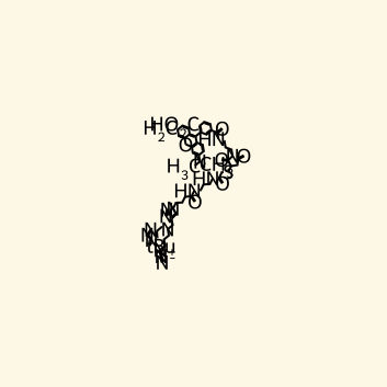 C=c1ccc2c(c1)Oc1cc(N(C)C)ccc1C=2c1cc(C(=O)NCCCN2C(=O)CC(SCC(=O)NCCCNC(=O)CCCn3cc(CN(CCCN=[N+]=[N-])Cc4cn(C(C)(C)C)nn4)nn3)C2=O)ccc1C(=O)O